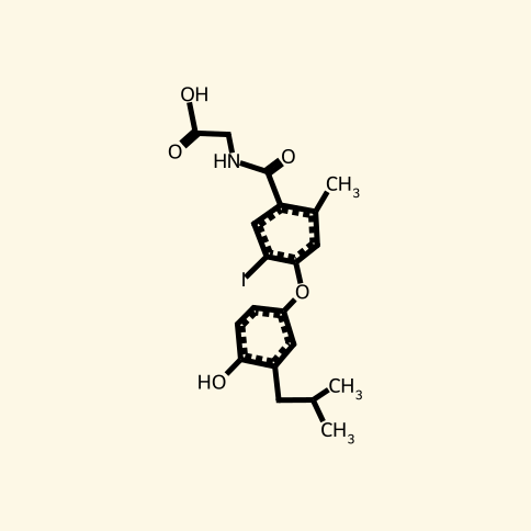 Cc1cc(Oc2ccc(O)c(CC(C)C)c2)c(I)cc1C(=O)NCC(=O)O